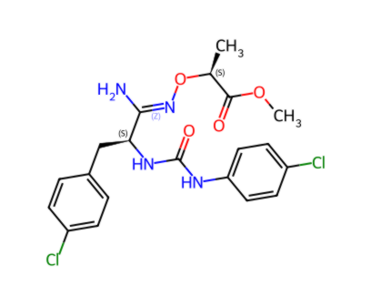 COC(=O)[C@H](C)O/N=C(\N)[C@H](Cc1ccc(Cl)cc1)NC(=O)Nc1ccc(Cl)cc1